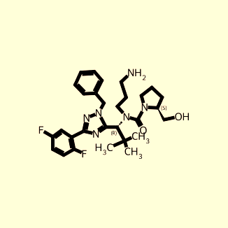 CC(C)(C)[C@H](c1nc(-c2cc(F)ccc2F)nn1Cc1ccccc1)N(CCCN)C(=O)N1CCC[C@H]1CO